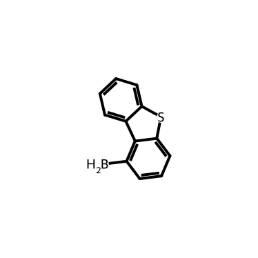 Bc1cccc2sc3ccccc3c12